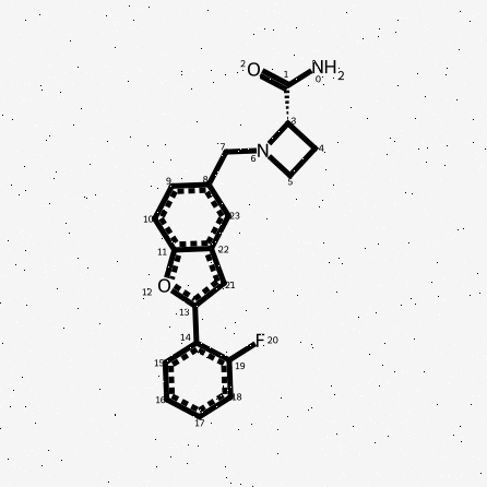 NC(=O)[C@@H]1CCN1Cc1ccc2oc(-c3ccccc3F)cc2c1